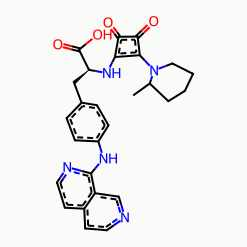 CC1CCCCN1c1c(N[C@@H](Cc2ccc(Nc3nccc4ccncc34)cc2)C(=O)O)c(=O)c1=O